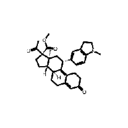 COC(=O)[C@]1(C(C)=O)CC[C@H]2[C@@H]3CCC4=CC(=O)CCC4=C3[C@@H](c3ccc4c(c3)CCN4C)C[C@@]21C